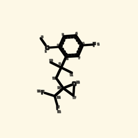 COc1ccc(F)cc1C(C)(C)CC1(C(F)F)CO1